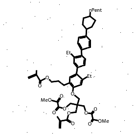 C=C(C)C(=O)OCCCc1cc(-c2ccc(-c3ccc(C4CCC(CCCCC)CC4)cc3)c(CC)c2)c(CC)cc1OCC(COC(=O)C(=C)C)(COC(=O)C(=O)OC)COC(=O)C(=O)OC